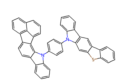 c1cc2c3c(cccc3c1)-c1c-2ccc2c3ccccc3n(-c3ccc(-n4c5ccccc5c5cc6c(cc54)sc4ccccc46)cc3)c12